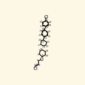 Cl/C=C/CO[C@H]1CC[C@H](C2CCC(c3ccc(-c4ccc(Cl)cc4)cc3)CC2)CC1